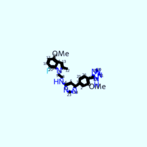 COc1cc(-c2cc(NCCn3c(C)cc4c(OC)ccc(F)c43)ncn2)ccc1-c1nnn[nH]1